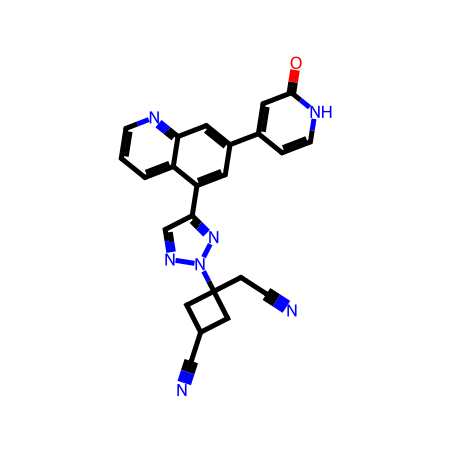 N#CCC1(n2ncc(-c3cc(-c4cc[nH]c(=O)c4)cc4ncccc34)n2)CC(C#N)C1